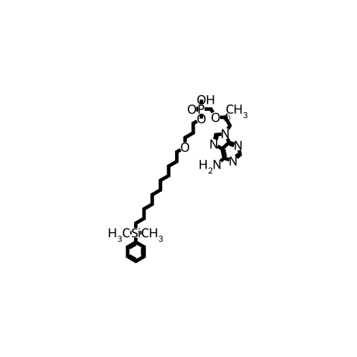 C[C@H](Cn1cnc2c(N)ncnc21)OCP(=O)(O)OCCCOCCCCCCCCCCC[Si](C)(C)c1ccccc1